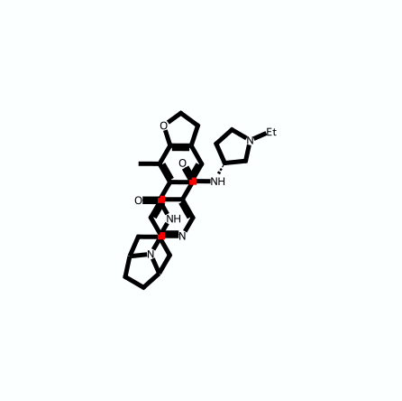 CCN1CC[C@@H](NC(=O)c2ccc(N3C4CCC3CC(NC(=O)c3ccc5c(c3C)OCC5)C4)nc2)C1